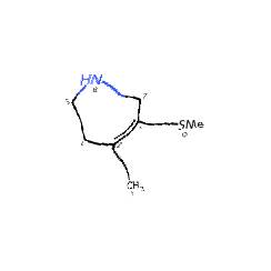 CSC1=C(C)CCNC1